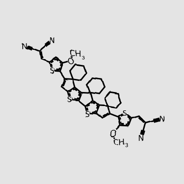 COc1cc(C=C(C#N)C#N)sc1C1=Cc2sc3c(c2C12CCCCC2)C1(CCCCC1)c1c-3sc2c1C1(CCCCC1)C(c1sc(C=C(C#N)C#N)cc1OC)=C2